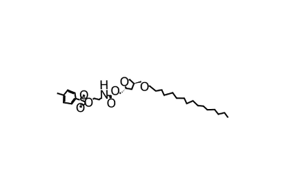 CCCCCCCCCCCCCCCCOC[C@@H]1CO[C@@H](COC(=O)NCCOS(=O)(=O)c2ccc(C)cc2)C1